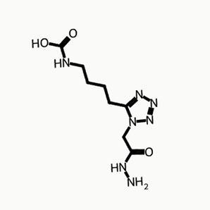 NNC(=O)Cn1nnnc1CCCCNC(=O)O